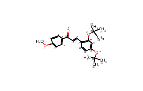 COc1ccc(C(=O)/C=C/c2ccc(OC(C)(C)C)cc2OC(C)(C)C)cc1